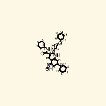 O=C(NC1CCCCC1)C1=CC2=C(CC(c3ccccc3)C/C2=N\O)N[C@H]1NCCOc1ccccc1